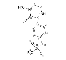 CN1CCN[C@H](c2ccc(OS(=O)(=O)C(F)(F)F)cc2)C1=O